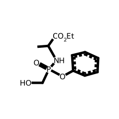 CCOC(=O)C(C)NP(=O)(CO)Oc1ccccc1